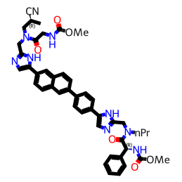 CCCN(Cc1ncc(-c2ccc(-c3ccc4cc(-c5cnc(CN(C[C@@H](C)C#N)C(=O)CNC(=O)OC)[nH]5)ccc4c3)cc2)[nH]1)C(=O)[C@H](NC(=O)OC)c1ccccc1